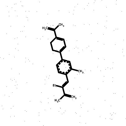 C=C(C)C1=CC=C(c2ccc(/C=C(\CC)C(=C)C)c(C)c2)CC1